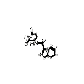 O=C1CC[C@H](NC(=O)c2ncc3ccccn23)C(=O)N1